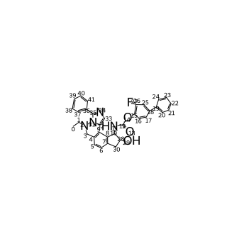 CCN(Cc1ccc2c(c1)[C@@H](NC(=O)Oc1ccc(-c3ccccc3)cc1F)[C@H](O)C2)n1ccnc1-c1ccccc1